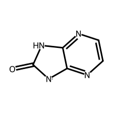 O=C1[N]c2nccnc2N1